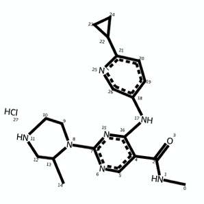 CNC(=O)c1cnc(N2CCNCC2C)nc1Nc1ccc(C2CC2)nc1.Cl